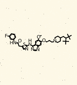 COc1cc2c(Nc3ncc(CC(=O)Nc4cccc(F)c4)s3)ncnc2cc1OCCCN1CCC(C[C](C(C)(C)C)C(C)(C)C)CC1